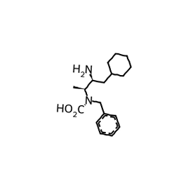 C[C@@H]([C@@H](N)CC1CCCCC1)N(Cc1ccccc1)C(=O)O